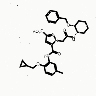 Cc1ccc(OCC2CC2)c(NC(=O)c2cc(C(=O)O)nn2CC(=O)N[C@H]2CCCC[C@@H]2OCc2ccccc2)c1